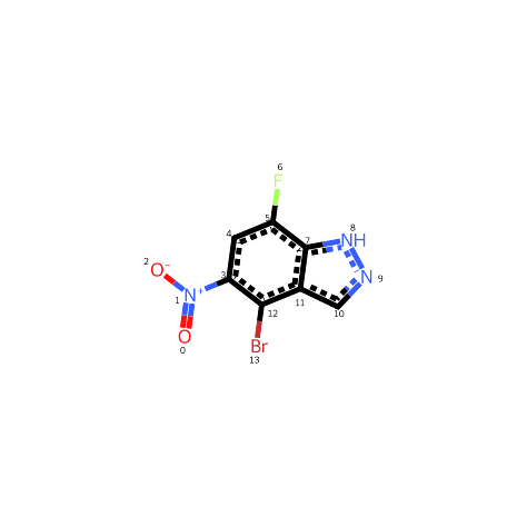 O=[N+]([O-])c1cc(F)c2[nH]ncc2c1Br